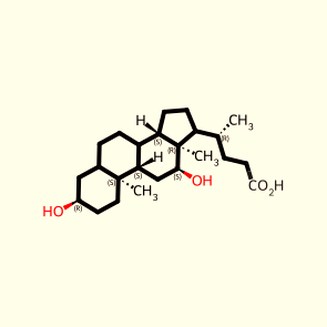 C[C@H](CCC(=O)O)C1CC[C@H]2C3CCC4C[C@H](O)CC[C@]4(C)[C@H]3C[C@H](O)[C@]12C